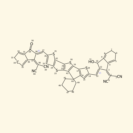 N#CC(C#N)=C1C2=CCCC=C2C(O)/C1=C\c1cc2c(s1)-c1sc3c(sc4cc(/C=C5/C(=O)C6=CCCC=C6C5=C(C#N)C#N)sc43)c1C21CCCCC1